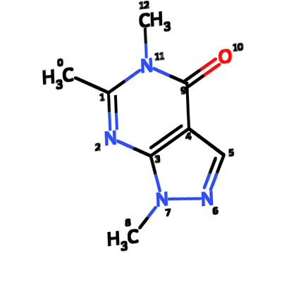 Cc1nc2c(cnn2C)c(=O)n1C